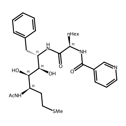 CCCCCC[C@@H](NC(=O)c1cccnc1)C(=O)N[C@@H](Cc1ccccc1)[C@@H](O)[C@H](O)[C@@H](CCSC)NC(C)=O